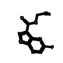 CC(C)(C)COC(=O)c1noc2ncc(F)nc12